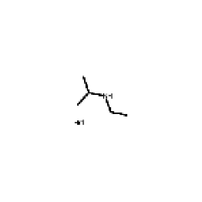 CCNC(C)C.Cl